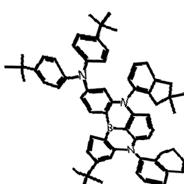 CC1(C)CC2=C(N3c4cc(N(c5ccc(C(C)(C)C)cc5)c5ccc(C(C)(C)C)cc5)ccc4B4c5ccc(C(C)(C)C)cc5N(c5cccc6c5CCCC6)c5cccc3c54)C=CCC2C1